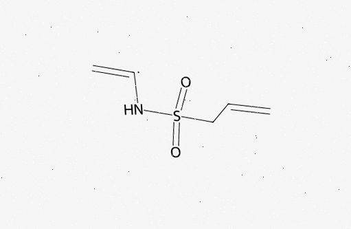 C=[C]NS(=O)(=O)CC=C